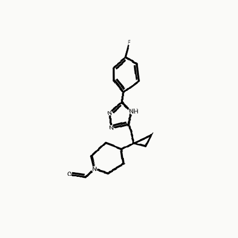 O=CN1CCC(C2(c3nnc(-c4ccc(F)cc4)[nH]3)CC2)CC1